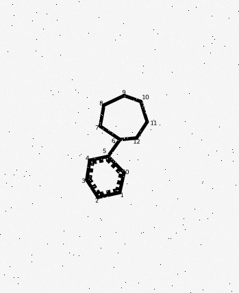 [c]1ccccc1C1CCCCCC1